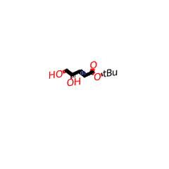 CC(C)(C)OC(=O)/C=C/[C@H](O)CO